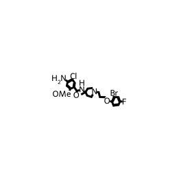 COc1cc(N)c(Cl)cc1C(=O)NC1(C)CCN(CCCOc2ccc(F)cc2Br)CC1